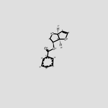 O=C(O[C@H]1CO[C@H]2C=CO[C@H]21)c1ccccc1